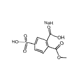 COC(=O)c1ccc(S(=O)(=O)O)cc1C(=O)O.[NaH]